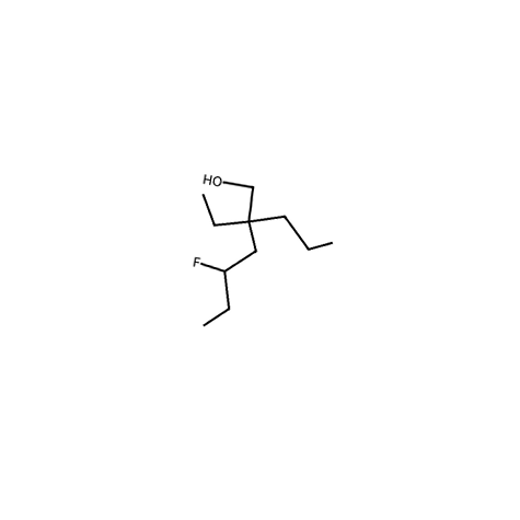 CCCC(CC)(CO)CC(F)CC